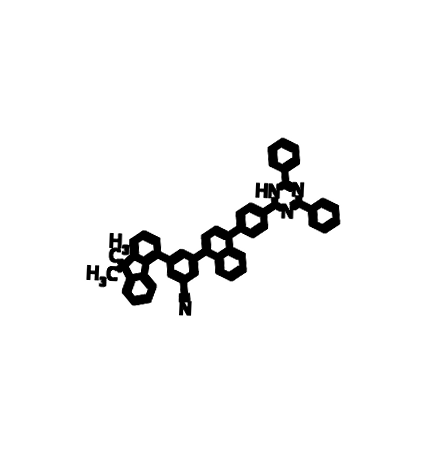 CC1(C)c2ccccc2-c2c(-c3cc(C#N)cc(-c4ccc(-c5ccc(C6N=C(c7ccccc7)N=C(c7ccccc7)N6)cc5)c5ccccc45)c3)cccc21